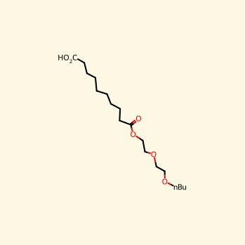 CCCCOCCOCCOC(=O)CCCCCCCCC(=O)O